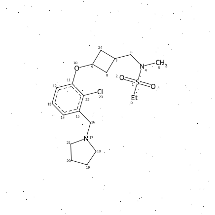 CCS(=O)(=O)N(C)CC1CC(Oc2cccc(CN3CCCC3)c2Cl)C1